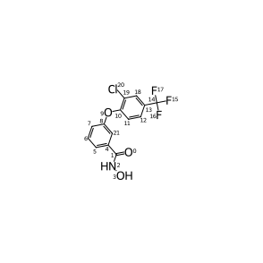 O=C(NO)c1cccc(Oc2ccc(C(F)(F)F)cc2Cl)c1